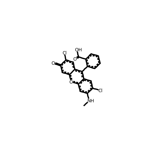 CNc1cc2oc3cc(=O)c(Cl)cc-3c(-c3ccccc3C(=O)O)c2cc1Cl